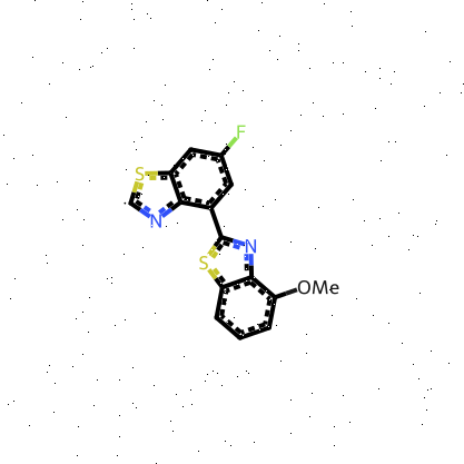 COc1cccc2sc(-c3cc(F)cc4s[c]nc34)nc12